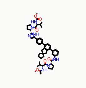 C=C(N[C@H](C(=O)N1CCC[C@H]1C(=O)Nc1cccc(-c2ccc(-c3ccc(-c4cnc([C@@H]5CCCN5C(=O)[C@@H](NC(=O)OC)C(C)C)[nH]4)cc3)c3c2CC2(CCCC2)C3)c1)C(C)C)OC